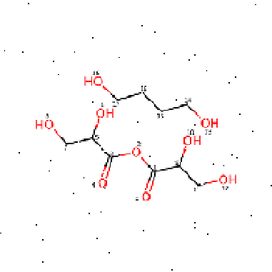 O=C(OC(=O)C(O)CO)C(O)CO.OCCCCO